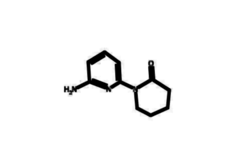 Nc1cccc(N2CCCCC2=O)n1